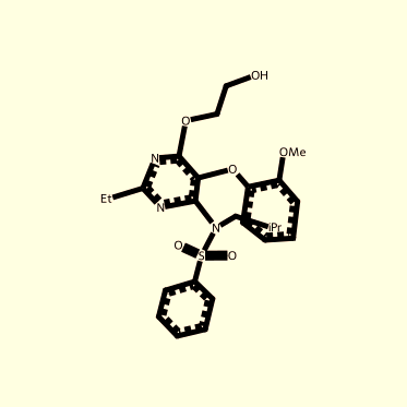 CCc1nc(OCCO)c(Oc2ccccc2OC)c(N(CC(C)C)S(=O)(=O)c2ccccc2)n1